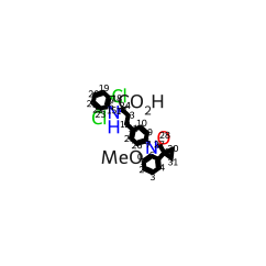 COc1cccc2c1N(c1ccc(CC[C@H](Nc3c(Cl)cccc3Cl)C(=O)O)cc1)C(=O)C21CC1